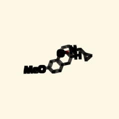 COc1ccc2c(c1)[C@]13CCN(CC4CC4)[C@H](C2)[C@@H]1CCOC3